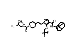 CC(C)COC(=O)N1CCC(CCn2ncc(C(=O)NC3C4CC5CC(C4)CC3C5)c2OCC(F)(F)F)CC1